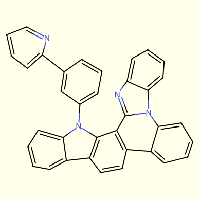 c1ccc(-c2cccc(-n3c4ccccc4c4ccc5c6ccccc6n6c7ccccc7nc6c5c43)c2)nc1